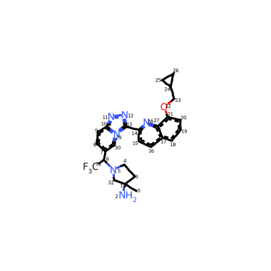 CC1(N)CCN(C(c2ccc3nnc(-c4ccc5cccc(OCC6CC6)c5n4)n3c2)C(F)(F)F)C1